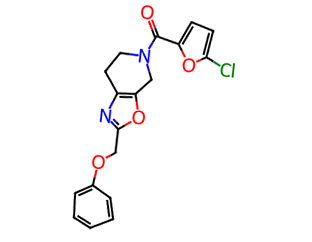 O=C(c1ccc(Cl)o1)N1CCc2nc(COc3ccccc3)oc2C1